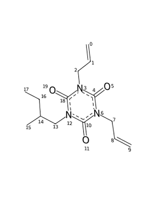 C=CCn1c(=O)n(CC=C)c(=O)n(CC(C)CC)c1=O